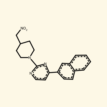 O=[N+]([O-])CC1CCN(c2nccc(-c3ccc4ccccc4c3)n2)CC1